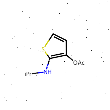 CC(=O)Oc1ccsc1NC(C)C